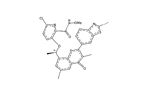 CONC(=O)c1nc(Cl)ccc1O[C@H](C)c1cc(C)cc2c(=O)c(C)c(-c3ccc4nc(C)sc4c3)oc12